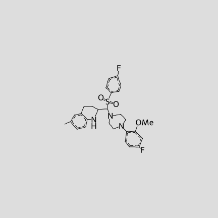 COc1cc(F)ccc1N1CCN(C(C2CCc3cc(C)ccc3N2)S(=O)(=O)c2ccc(F)cc2)CC1